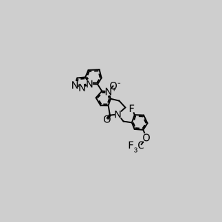 O=C1c2ccc(-c3cccc4cnnn34)[n+]([O-])c2CCN1Cc1cc(OC(F)(F)F)ccc1F